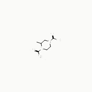 CC1CN(C(=O)O)CCN1C(=N)N